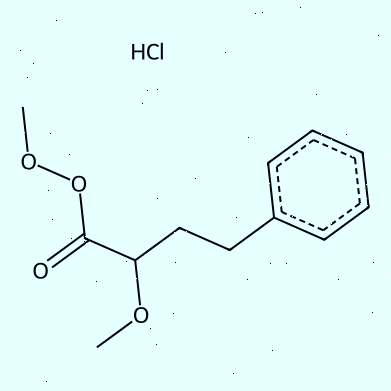 COOC(=O)C(CCc1ccccc1)OC.Cl